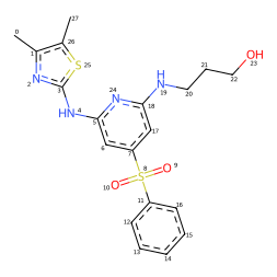 Cc1nc(Nc2cc(S(=O)(=O)c3ccccc3)cc(NCCCO)n2)sc1C